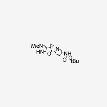 CN/C=C(\C=N)C1(C(=O)c2ccc(NC(=O)OC(C)(C)C)cn2)CC1